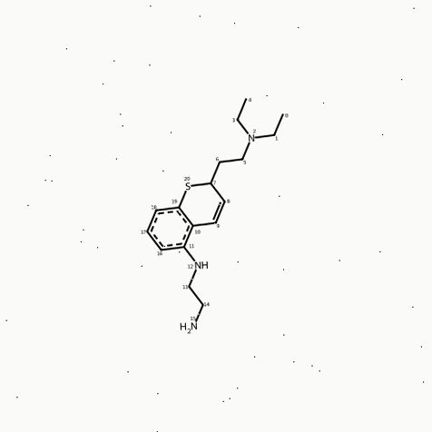 CCN(CC)CCC1C=Cc2c(NCCN)cccc2S1